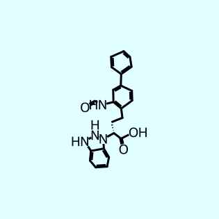 O=CNc1cc(-c2ccccc2)ccc1CC[C@H](C(=O)O)N1NNc2ccccc21